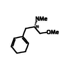 CN[C@H](COC)CC1=CCCC=C1